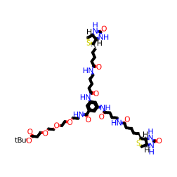 CC(C)(C)OC(=O)CCOCCOCCOCCNC(=O)c1cc(NC(=O)CCCCNC(=O)CCCC[C@@H]2SC[C@@H]3NC(=O)N[C@@H]32)cc(NC(=O)CCCNC(=O)CCCC[C@@H]2SC[C@@H]3NC(=O)N[C@@H]32)c1